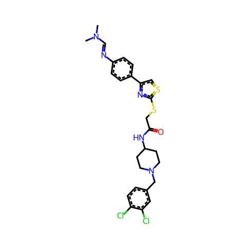 CN(C)C=Nc1ccc(-c2csc(SCC(=O)NC3CCN(Cc4ccc(Cl)c(Cl)c4)CC3)n2)cc1